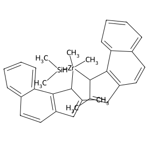 CC1=Cc2ccc3ccccc3c2[CH]1[Zr]([CH3])([CH3])([CH]1C(C)=Cc2ccc3ccccc3c21)[SiH](C)C